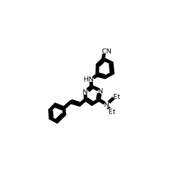 CCN(CC)c1cc(C=Cc2ccccc2)nc(Nc2cccc(C#N)c2)n1